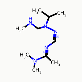 CNCN(/N=C\N=C(/C)N(C)C)C(C)C